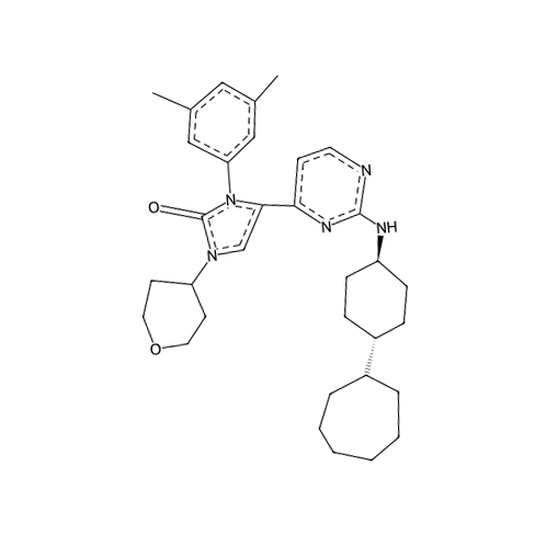 Cc1cc(C)cc(-n2c(-c3ccnc(N[C@H]4CC[C@H](C5CCCCCC5)CC4)n3)cn(C3CCOCC3)c2=O)c1